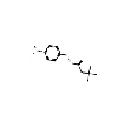 CC(C)(C)CC(=O)OOc1ccc([N+](=O)[O-])cc1